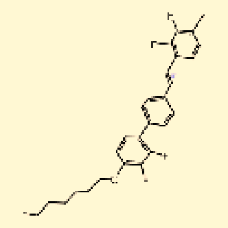 CCCCCCCOc1ccc(-c2ccc(/C=C/c3ccc(C)c(F)c3F)cc2)c(F)c1F